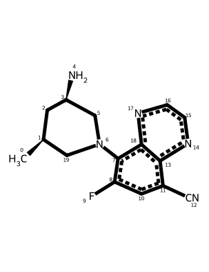 C[C@H]1C[C@@H](N)CN(c2c(F)cc(C#N)c3nccnc23)C1